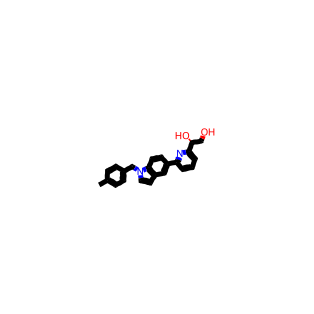 Cc1ccc(Cn2ccc3cc(-c4cccc([C@H](O)CO)n4)ccc32)cc1